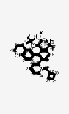 COC(=O)C(OC(C)(C)C)c1c(C(F)(F)F)ccc(-c2cccc(=O)n2CC2CCC2)c1-c1ccc2c(c1)CCCO2